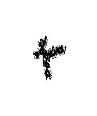 c1cc(-c2ccc(-c3nc(-c4ccc(-c5ccncc5)nc4)nc(-c4cc(-c5ccncc5)cc(-c5ccncc5)c4)n3)nc2)ccn1